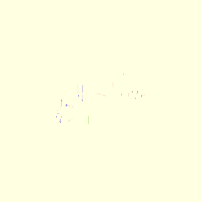 COc1cc(CNc2ncnc(C)c2Cl)ccc1O